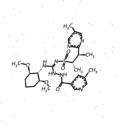 CO[C@H]1CCC[C@@H](OC)[C@@H]1N/C(=N/S(=O)(=O)[C@@H](C)[C@H](C)c1ncc(C)cn1)NNC(=O)c1cncc(C)c1